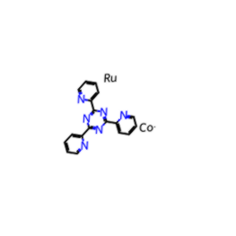 [Co].[Ru].c1ccc(-c2nc(-c3ccccn3)nc(-c3ccccn3)n2)nc1